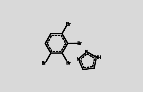 Brc1ccc(Br)c(Br)c1Br.c1c[nH]nn1